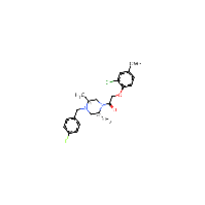 COc1ccc(OCC(=O)N2C[C@H](C)N(Cc3ccc(F)cc3)C[C@H]2C)c(Cl)c1